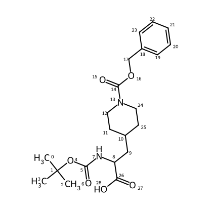 CC(C)(C)OC(=O)NC(CC1CCN(C(=O)OCc2ccccc2)CC1)C(=O)O